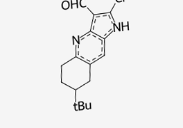 CC(C)(C)C1CCc2nc3c(C=O)c(Cl)[nH]c3cc2C1